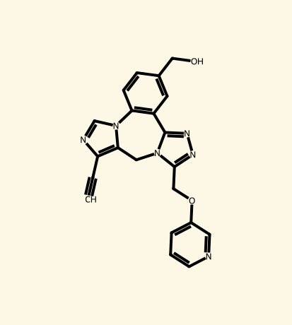 C#Cc1ncn2c1Cn1c(COc3cccnc3)nnc1-c1cc(CO)ccc1-2